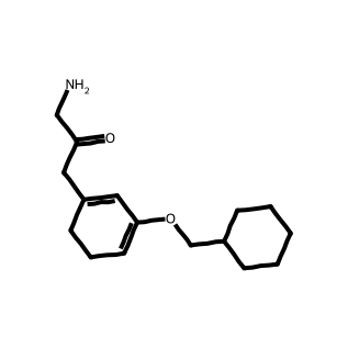 NCC(=O)CC1=CC(OCC2CCCCC2)=CCC1